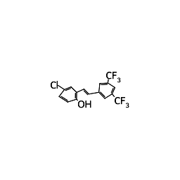 Oc1ccc(Cl)cc1/C=C/c1cc(C(F)(F)F)cc(C(F)(F)F)c1